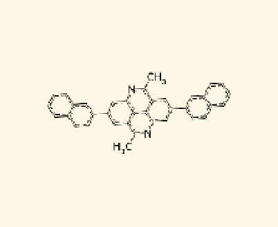 Cc1nc2cc(-c3ccc4ccccc4c3)cc3c(C)nc4cc(-c5ccc6ccccc6c5)cc1c4c23